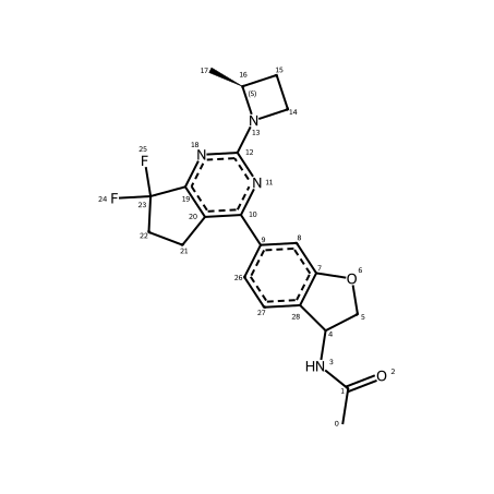 CC(=O)NC1COc2cc(-c3nc(N4CC[C@@H]4C)nc4c3CCC4(F)F)ccc21